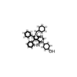 N=c1c2c(-c3ccccc3)c(-c3ccccc3)n(CC3CCCCC3)c2ncn1[C@H]1CC[C@H](O)CC1